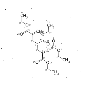 C=C(CC(CC(=C=[P+]([O-])OCC)C(=O)OCC)C(=O)OCC)C(=O)OCC